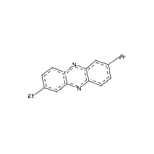 CCc1ccc2nc3cc(C(C)C)ccc3nc2c1